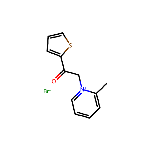 Cc1cccc[n+]1CC(=O)c1cccs1.[Br-]